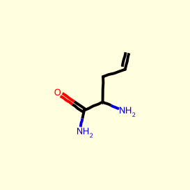 C=CC[C](N)C(N)=O